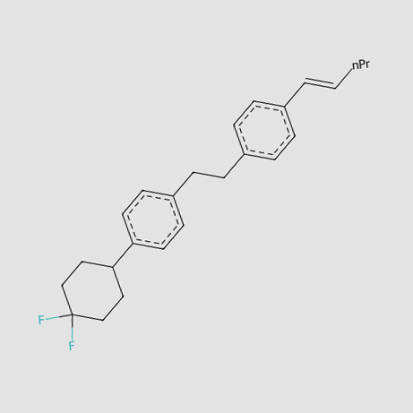 CCCC=Cc1ccc(CCc2ccc(C3CCC(F)(F)CC3)cc2)cc1